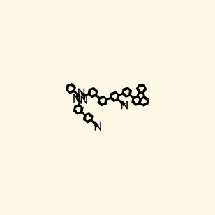 N#Cc1ccc(-c2cccc(-c3nc(-c4ccccc4)nc(-c4cccc(-c5cccc(-c6ccc(-c7cccc(-c8ccc9cccc%10c9c8-c8ccccc8-%10)c7)c(C#N)c6)c5)c4)n3)c2)cc1